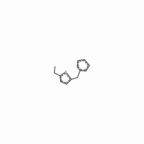 CCc1ccc(Cc2ccccc2)s1